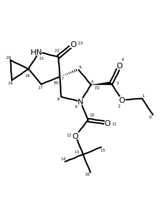 CCOC(=O)[C@@H]1C[C@]2(CN1C(=O)OC(C)(C)C)CC1(CC1)NC2=O